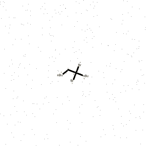 CCCCCC(Br)(Br)CCCC